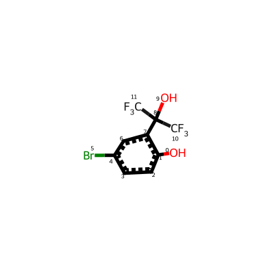 Oc1ccc(Br)cc1C(O)(C(F)(F)F)C(F)(F)F